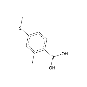 CSc1ccc(B(O)O)c(C)c1